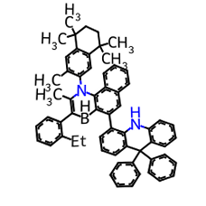 CCc1ccccc1C1=C(C)N(c2cc3c(cc2C)C(C)(C)CCC3(C)C)c2c(c(-c3cccc4c3Nc3ccccc3C4(c3ccccc3)c3ccccc3)cc3ccccc23)B1